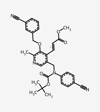 COC(=O)/C=C/c1c(CN(C(=O)OC(C)(C)C)c2ccc(C#N)cc2)cnc(C)c1OCc1cccc(C#N)c1